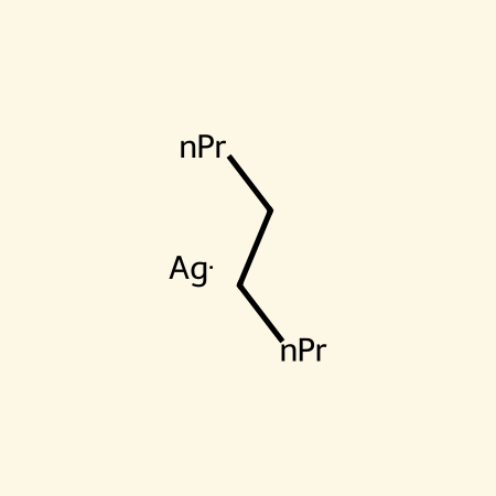 CCCCCCCC.[Ag]